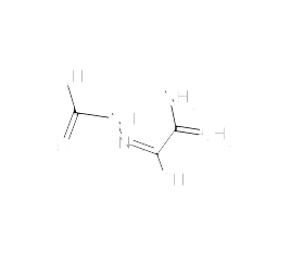 C=C(N)/C(C)=N\NC(C)=O